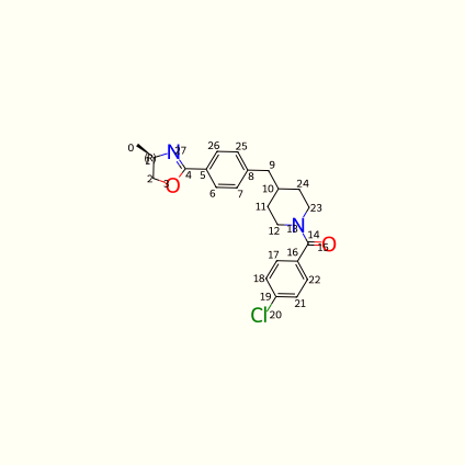 C[C@@H]1COC(c2ccc(CC3CCN(C(=O)c4ccc(Cl)cc4)CC3)cc2)=N1